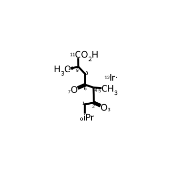 CC(C)CC(=O)C(C)C(=O)CC(C)C(=O)O.[Ir]